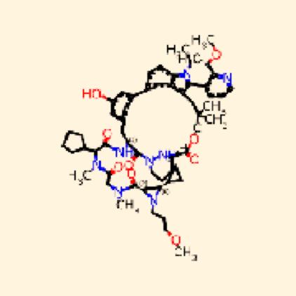 CCn1c(-c2cccnc2[C@H](C)OC)c2c3cc(ccc31)-c1cc(O)cc(c1)C[C@H](NC(=O)C(C1CCCC1)N(C)C(=O)CN(C)C(=O)[C@H]1[C@@H](C3CC3)N1CCCOC)C(=O)N1CCC[C@H](N1)C(=O)OCC(C)(C)C2